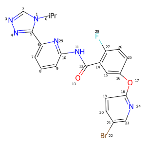 CC(C)n1cnnc1-c1cccc(NC(=O)c2cc(Oc3ccc(Br)cn3)ccc2F)n1